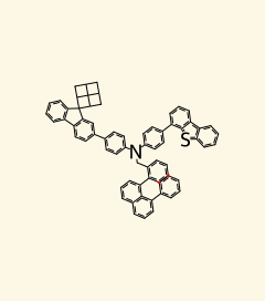 c1ccc(-c2cccc3cccc(-c4ccccc4CN(c4ccc(-c5ccc6c(c5)C5(c7ccccc7-6)C6CC7CC8CC5C786)cc4)c4ccc(-c5cccc6c5sc5ccccc56)cc4)c23)cc1